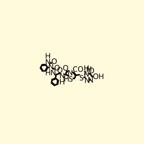 O=C(O)C1=C(CSc2nnc(O)c(=O)[nH]2)CS[C@H]2C(NC(=O)C(NC(=O)n3c(=O)[nH]c4ccccc43)c3ccccc3)C(=O)N12